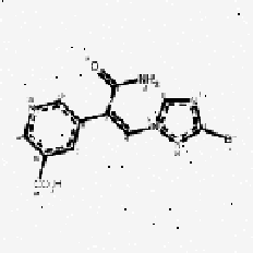 NC(=O)C(=Cn1cnc(Br)n1)c1cncc(C(=O)O)c1